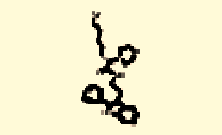 CC(=O)CCCCC[C@@H](C(=O)NCCc1c(-c2ccccc2)[nH]c2ccccc12)N1CCOCC1